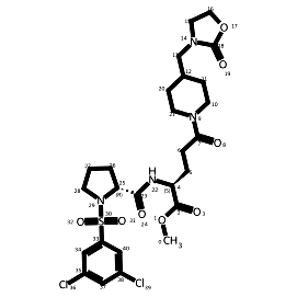 COC(=O)[C@H](CCC(=O)N1CCC(CN2CCOC2=O)CC1)NC(=O)[C@H]1CCCN1S(=O)(=O)c1cc(Cl)cc(Cl)c1